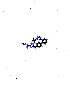 CCNC(=O)c1nc(Cc2ccc(-c3ccccc3-c3nnn[nH]3)cc2)n(CC(C)(C)C)n1